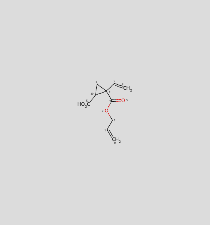 C=CCOC(=O)C1(C=C)CC1C(=O)O